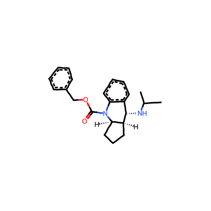 CC(C)N[C@H]1c2ccccc2N(C(=O)OCc2ccccc2)[C@@H]2CCC[C@@H]21